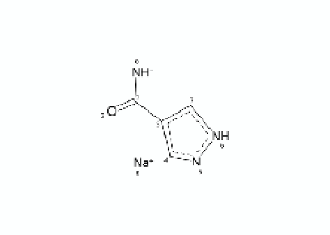 [NH-]C(=O)c1cn[nH]c1.[Na+]